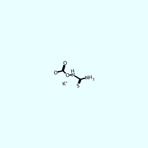 NC(=S)NOC(=O)[O-].[K+]